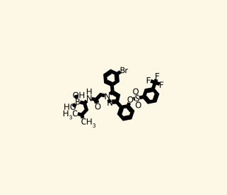 CC(C)CC(NC(=O)Cn1nc(-c2ccccc2OS(=O)(=O)c2cccc(C(F)(F)F)c2)cc1-c1cccc(Br)c1)B(O)O